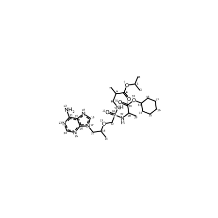 CC(C)OC(=O)C(C)CNP(=O)(COC(C)Cn1cnc2c(N)ncnc21)NC(C)C(=O)OC1CCCCC1